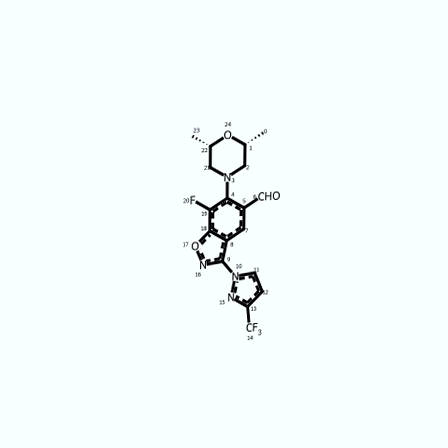 C[C@@H]1CN(c2c(C=O)cc3c(-n4ccc(C(F)(F)F)n4)noc3c2F)C[C@H](C)O1